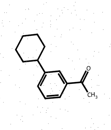 CC(=O)c1cccc(C2CC[CH]CC2)c1